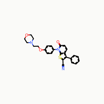 N#Cc1sc2c(ccc(=O)n2-c2ccc(OCCN3CCOCC3)cc2)c1-c1ccccc1